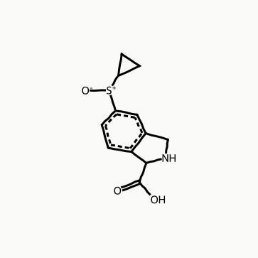 O=C(O)C1NCc2cc([S+]([O-])C3CC3)ccc21